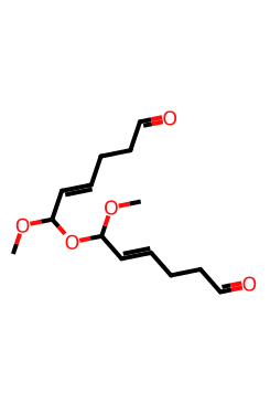 COC(C=CCCC=O)OC(C=CCCC=O)OC